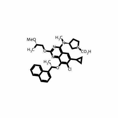 CO[C@@H](C)COc1nc(N(C)[C@H]2CCN(C(=O)O)C2)c2cc(C3CC3)c(Cl)c(O[C@@H](C)c3cccc4ccccc34)c2n1